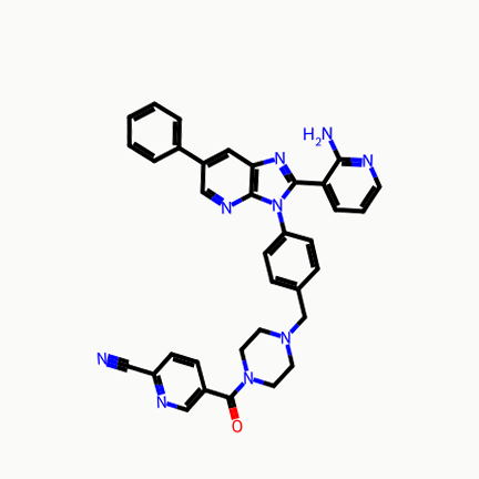 N#Cc1ccc(C(=O)N2CCN(Cc3ccc(-n4c(-c5cccnc5N)nc5cc(-c6ccccc6)cnc54)cc3)CC2)cn1